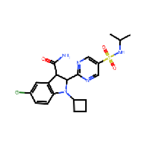 CC(C)NS(=O)(=O)c1cnc(C2C(C(N)=O)c3cc(Cl)ccc3N2C2CCC2)nc1